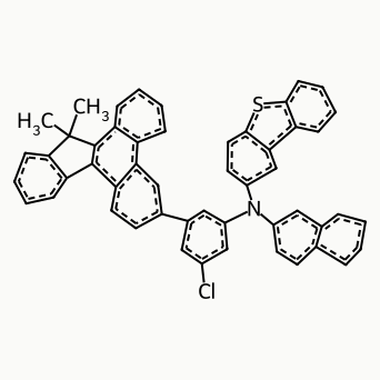 CC1(C)c2ccccc2-c2c1c1ccccc1c1cc(-c3cc(Cl)cc(N(c4ccc5ccccc5c4)c4ccc5sc6ccccc6c5c4)c3)ccc21